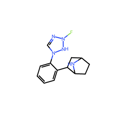 FN1N=CN(c2ccccc2C2CC3CCC2N3)N1